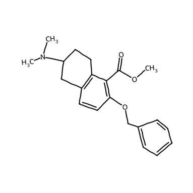 COC(=O)c1c(OCc2ccccc2)ccc2c1CCC(N(C)C)C2